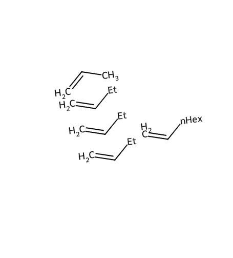 C=CC.C=CCC.C=CCC.C=CCC.C=CCCCCCC